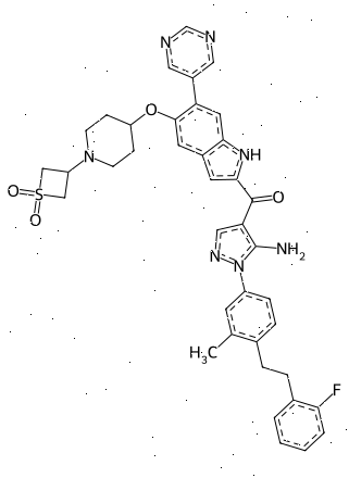 Cc1cc(-n2ncc(C(=O)c3cc4cc(OC5CCN(C6CS(=O)(=O)C6)CC5)c(-c5cncnc5)cc4[nH]3)c2N)ccc1CCc1ccccc1F